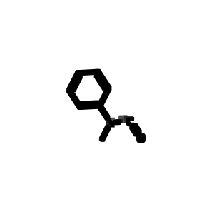 CN([13CH]=O)c1ccccc1